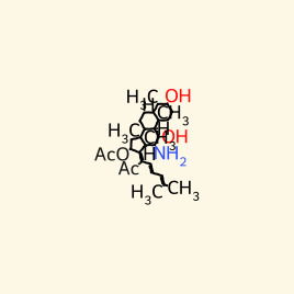 CC(=O)O[C@H]1C[C@@]2(C)[C@H](/C1=C(\C=C\C=C(C)C)C(C)=O)[C@@H](N)[C@@H](O)[C@H]1[C@@]3(C)CC[C@@H](O)[C@@H](C)[C@@H]3CC[C@@]12C